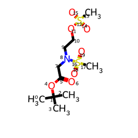 CC(C)(C)OC(=O)CN(CCOS(C)(=O)=O)S(C)(=O)=O